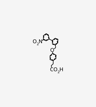 O=C(O)CCc1ccc(OCc2cccc(-c3cccc([N+](=O)[O-])c3)c2)cc1